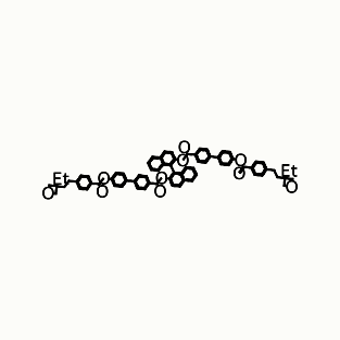 CCC1(CCc2ccc(C(=O)Oc3ccc(-c4ccc(C(=O)Oc5ccc6ccccc6c5-c5c(OC(=O)c6ccc(-c7ccc(OC(=O)c8ccc(CCC9(CC)COC9)cc8)cc7)cc6)ccc6ccccc56)cc4)cc3)cc2)COC1